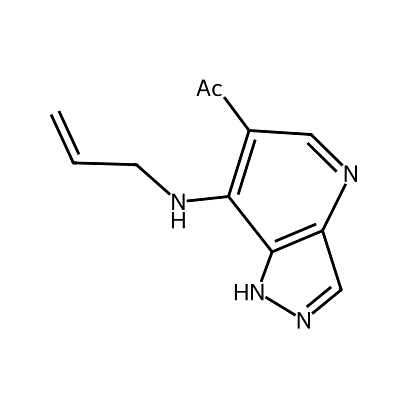 C=CCNc1c(C(C)=O)cnc2cn[nH]c12